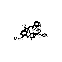 COc1ccc2c(c1CN1[C@H](C)CN(C(=O)OC(C)(C)C)C[C@@H]1C)O/C(=C\c1n[nH]c3ncccc13)C2=O